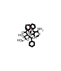 Nc1ncnc2c1ncn2[C@]1(C(=O)c2ccccc2)O[C@H](CO)[C@@H](O)[C@]1(OC(=O)c1ccccc1)C(=O)c1ccccc1